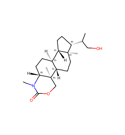 CC(CO)[C@H]1CC[C@H]2[C@@H]3CC[C@H]4N(C)C(=O)OC[C@]4(C)[C@H]3CC[C@]12C